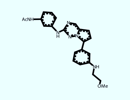 COCCNc1cccc(-c2ccc3cnc(Nc4cccc(NC(C)=O)c4)nn23)c1